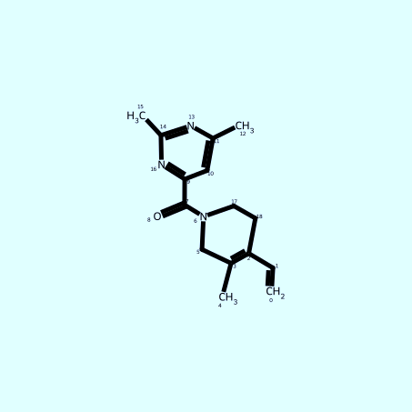 C=CC1=C(C)CN(C(=O)c2cc(C)nc(C)n2)CC1